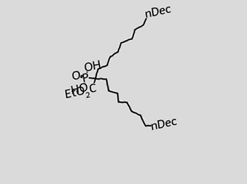 CCCCCCCCCCCCCCCCCCC(CCCCCCCCCCCCCCCCCC)(C(=O)OCC)P(=O)(O)O